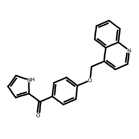 O=C(c1ccc(OCc2ccnc3ccccc23)cc1)c1ccc[nH]1